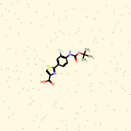 CC(C)(C)OC(=O)Nc1ccc(-c2nc(C(=O)O)cs2)cc1F